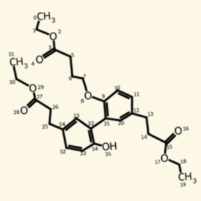 CCOC(=O)CCCOc1ccc(CCC(=O)OCC)cc1-c1cc(CCC(=O)OCC)ccc1O